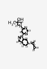 CC1(O)CN(c2cc(-n3ncc4ccc([C@@H]5CC56CC6)cc43)ncn2)C1